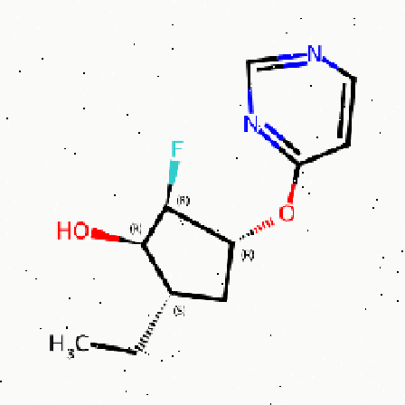 CC[C@H]1C[C@@H](Oc2ccncn2)[C@H](F)[C@@H]1O